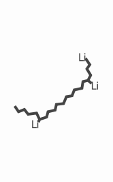 [Li][CH2]CC[CH]([Li])CCCCCCCCCC[CH]([Li])CCCCC